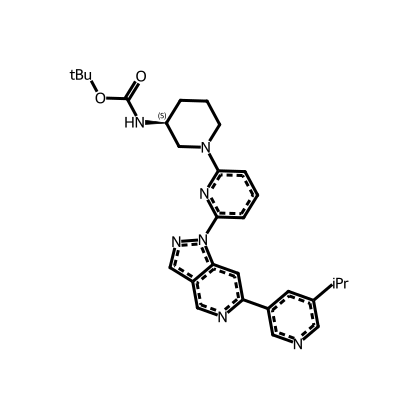 CC(C)c1cncc(-c2cc3c(cn2)cnn3-c2cccc(N3CCC[C@H](NC(=O)OC(C)(C)C)C3)n2)c1